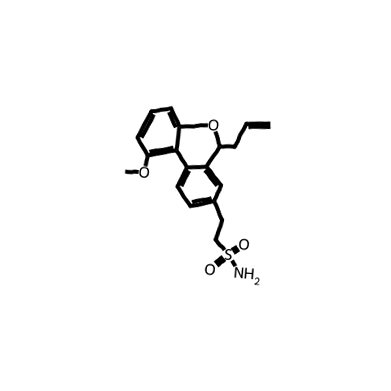 C=CCC1Oc2cccc(OC)c2-c2ccc(CCS(N)(=O)=O)cc21